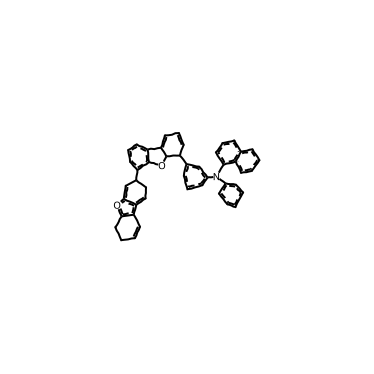 C1=CC(c2cccc(N(c3ccccc3)c3cccc4ccccc34)c2)C2Oc3c(cccc3C3C=c4oc5c(c4=CC3)C=CCC5)C2=C1